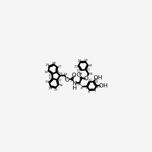 O=C(N[C@@H](Cc1ccc(O)c(O)c1)C(=O)OCc1ccccc1)OCC1c2ccccc2-c2ccccc21